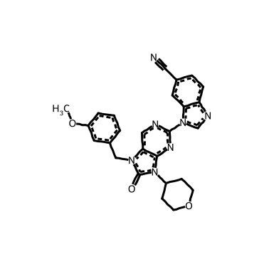 COc1cccc(Cn2c(=O)n(C3CCOCC3)c3nc(-n4cnc5ccc(C#N)cc54)ncc32)c1